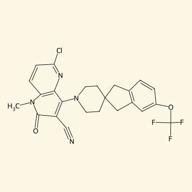 Cn1c(=O)c(C#N)c(N2CCC3(CC2)Cc2ccc(OC(F)(F)F)cc2C3)c2nc(Cl)ccc21